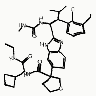 CCNC(=O)[C@H](NC(=O)C1(c2ccc3nc(C(NC(=O)NC)C(c4cccc(F)c4Cl)C(C)C)[nH]c3c2)CCOC1)C1CCC1